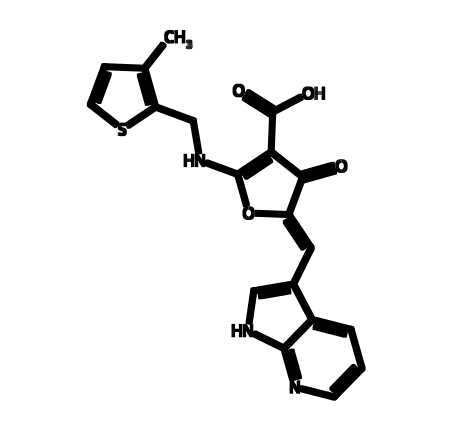 Cc1ccsc1CNC1=C(C(=O)O)C(=O)C(=Cc2c[nH]c3ncccc23)O1